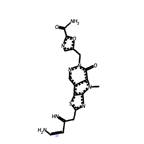 Cn1c2nc(CC(=N)/C=C\N)sc2c2cnn(Cc3cnc(C(N)=O)o3)c(=O)c21